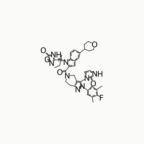 CC[C@](C)(c1noc(=O)[nH]1)n1c(C(=O)N2CCc3nn(-c4cc(C)c(F)c(C)c4)c(-n4cc[nH]c4=O)c3C2)cc2cc(C3CCOCC3)ccc21